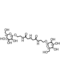 O=C(CNCC(=O)NCCO[C@H]1O[C@H](CO)[C@@H](O)[C@H](O)[C@@H]1O)NCCO[C@H]1O[C@H](CO)[C@@H](O)[C@H](O)[C@@H]1O